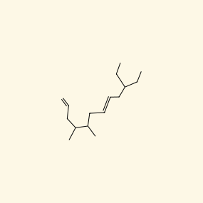 C=CCC(C)C(C)CC=CCC(CC)CC